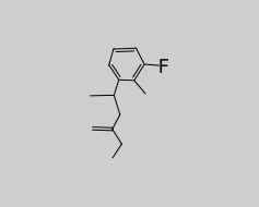 C=C(CC)CC(C)c1cccc(F)c1C